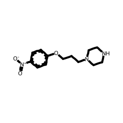 O=[N+]([O-])c1ccc(OCCCN2CCNCC2)cc1